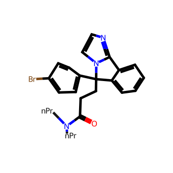 CCCN(CCC)C(=O)CCC1(c2ccc(Br)cc2)c2ccccc2-c2nccn21